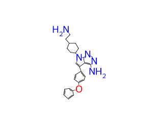 NCCC1CCC(n2cc(-c3ccc(Oc4ccccc4)cc3)c3c(N)ncnc32)CC1